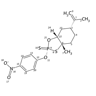 C=C(C)[C@@H]1CC[C@]2(C)S[P@](=S)(Oc3ccc([N+](=O)[O-])cc3)O[C@@H]2C1